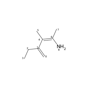 C=C(CC)/C(C)=C(/C)N